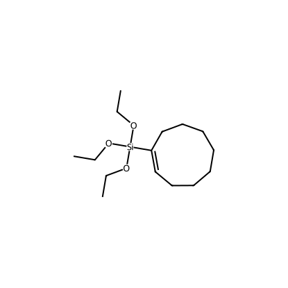 CCO[Si](OCC)(OCC)C1=CCCCCCCC1